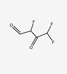 O=CC(F)C(=O)C(F)F